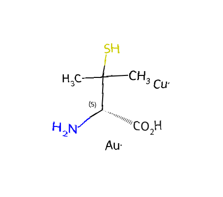 CC(C)(S)[C@@H](N)C(=O)O.[Au].[Cu]